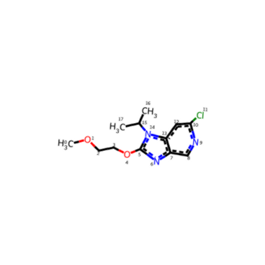 COCCOc1nc2cnc(Cl)cc2n1C(C)C